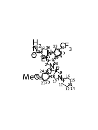 CC[C@H]1CN(C(=O)[C@]2(F)CN([C@H]3CC[C@H](C)CC3)C[C@H]2c2ccc(OC)cc2)C[C@@H]1c1ccc(C(F)(F)F)cc1N1CCC(C(N)=O)CC1